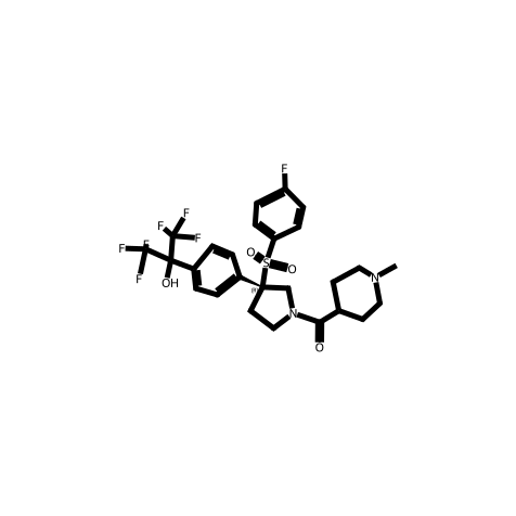 CN1CCC(C(=O)N2CC[C@](c3ccc(C(O)(C(F)(F)F)C(F)(F)F)cc3)(S(=O)(=O)c3ccc(F)cc3)C2)CC1